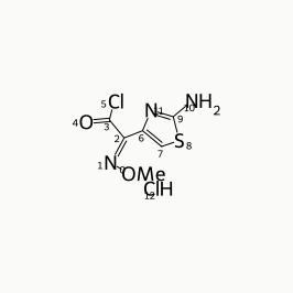 CO/N=C(/C(=O)Cl)c1csc(N)n1.Cl